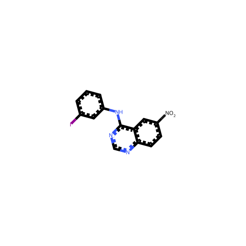 O=[N+]([O-])c1ccc2ncnc(Nc3cccc(I)c3)c2c1